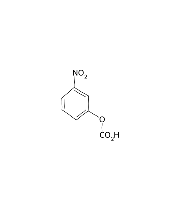 O=C(O)Oc1cccc([N+](=O)[O-])c1